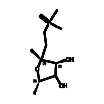 C=P(C)(C)CC[C@@]1(C)O[C@@H](C)C(O)[C@@H]1O